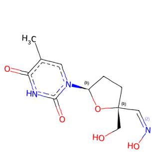 Cc1cn([C@H]2CC[C@@](/C=N\O)(CO)O2)c(=O)[nH]c1=O